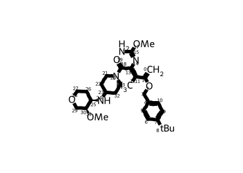 C=C(OCc1ccc(C(C)(C)C)cc1)/C(C)=C(\N=C(/N)OC)C(=O)N1CCC(N[C@@H]2CCOC[C@@H]2OC)CC1